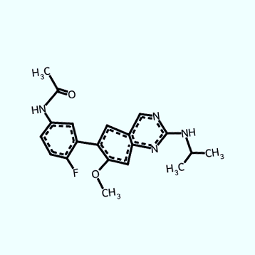 COc1cc2nc(NC(C)C)ncc2cc1-c1cc(NC(C)=O)ccc1F